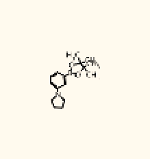 CC1(C)OB(c2cccc(N3CCCC3)c2)OC1(C)C